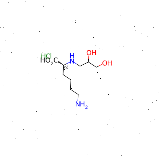 Cl.NCCCC[C@H](NCC(O)CO)C(=O)O